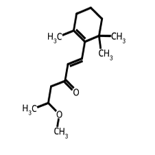 COC(C)CC(=O)C=CC1=C(C)CCCC1(C)C